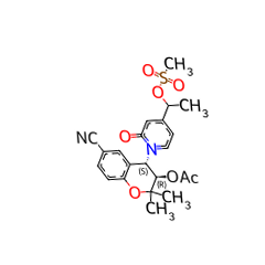 CC(=O)O[C@@H]1[C@@H](n2ccc(C(C)OS(C)(=O)=O)cc2=O)c2cc(C#N)ccc2OC1(C)C